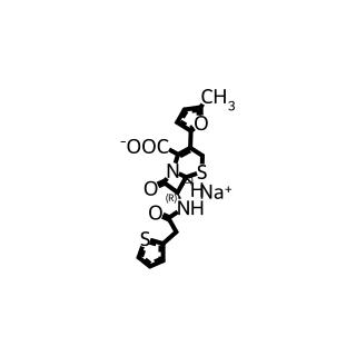 Cc1ccc(C2=C(C(=O)[O-])N3C(=O)[C@@H](NC(=O)Cc4cccs4)[C@@H]3SC2)o1.[Na+]